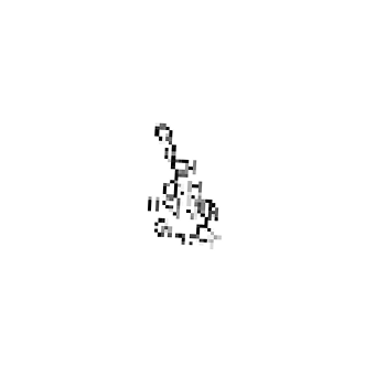 Fc1cc(OCCN2CCCC2)cc(-c2nccc3[nH]c(-c4n[nH]c5ccc(-c6cncc(OCc7ccccc7)c6)nc45)nc23)c1